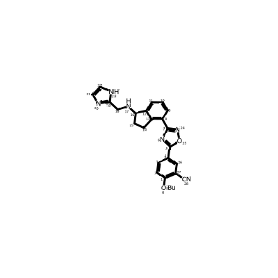 CC(C)COc1ccc(-c2nc(-c3cccc4c3CCC4NCc3ncc[nH]3)no2)cc1C#N